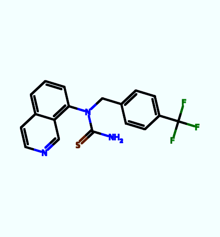 NC(=S)N(Cc1ccc(C(F)(F)F)cc1)c1cccc2ccncc12